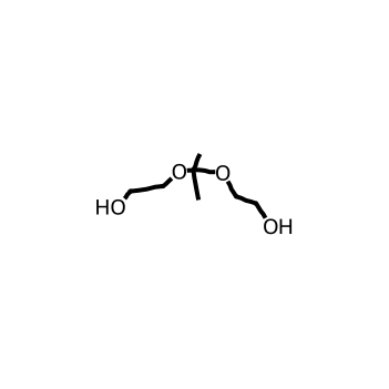 CC(C)(OCCO)OCCO